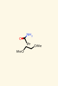 CC(C)C(N)=O.COCCOC